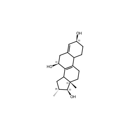 C[C@@H]1CC2C3=C(CC[C@]2(C)[C@H]1O)C1CC[C@H](O)C=C1C[C@@H]3O